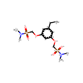 CCN(C)S(=O)(=O)COc1cc(CC(C)(C)C)cc(OCS(=O)(=O)N(C)CC)c1